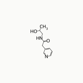 CC(O)CNC(=O)Cc1cccnc1